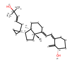 C=C1/C(=C\C=C2/CCC[C@]3(C)[C@@H](C4(C/C=C/C(O)(C(F)(F)F)C(F)(F)F)CC4)CC[C@@H]23)CCC[C@@H]1O